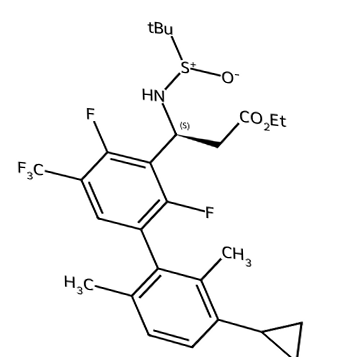 CCOC(=O)C[C@H](N[S+]([O-])C(C)(C)C)c1c(F)c(-c2c(C)ccc(C3CC3)c2C)cc(C(F)(F)F)c1F